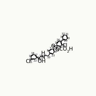 O=C(O)c1c(S(=O)(=O)c2ccc(CCNC[C@H](O)c3cccc(Cl)c3)cc2)ccc(-c2ccccc2)c1Cl